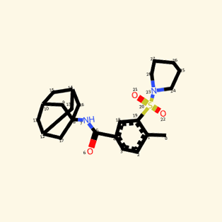 Cc1ccc(C(=O)NC23CC4CC(CC(C4)C2)C3)cc1S(=O)(=O)N1CCCCC1